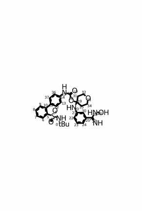 CC(C)(C)NS(=O)(=O)c1ccccc1-c1ccc(NC(=O)OC2(Nc3cccc(C(=N)NO)c3)CCOCC2)cc1